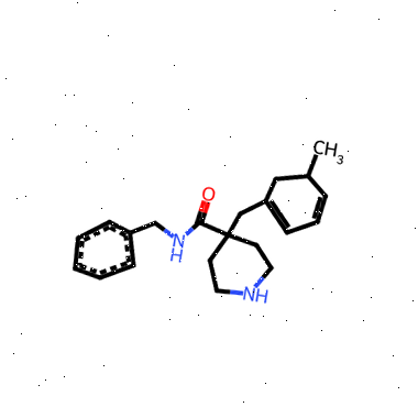 CC1C=CC=C(CC2(C(=O)NCc3ccccc3)CCNCC2)C1